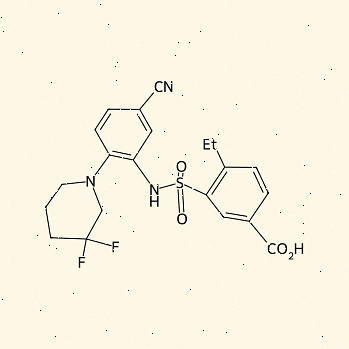 CCc1ccc(C(=O)O)cc1S(=O)(=O)Nc1cc(C#N)ccc1N1CCCC(F)(F)C1